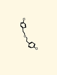 Clc1ccc(CCOCCc2ccc(Cl)cc2)cc1